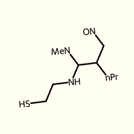 CCCC(CN=O)C(NC)NCCS